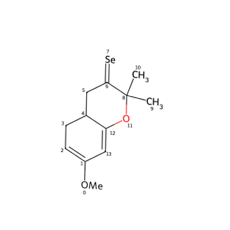 COC1=CCC2CC(=[Se])C(C)(C)OC2=C1